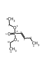 CC/C=C/P(=O)(OCC)OCC